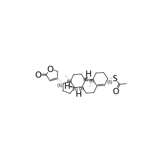 CC(=O)S[C@@H]1C=C2CC[C@H]3[C@@H]4CC[C@H](C5=CC(=O)OC5)[C@@]4(C)CC[C@@H]3[C@@]2(C)CC1